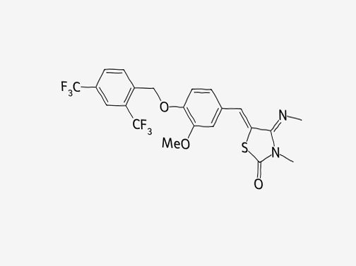 CN=C1C(=Cc2ccc(OCc3ccc(C(F)(F)F)cc3C(F)(F)F)c(OC)c2)SC(=O)N1C